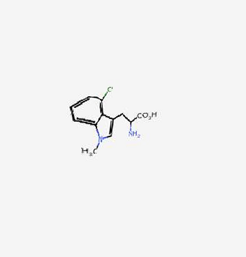 Cn1cc(CC(N)C(=O)O)c2c(Cl)cccc21